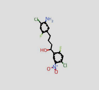 Nc1cc(CCCC(O)c2cc([N+](=O)[O-])c(Cl)cc2F)c(F)cc1Cl